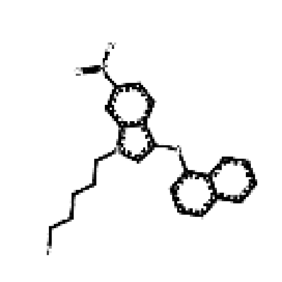 O=[N+]([O-])c1ccc2c(Oc3cccc4ccccc34)cn(CCCCCF)c2c1